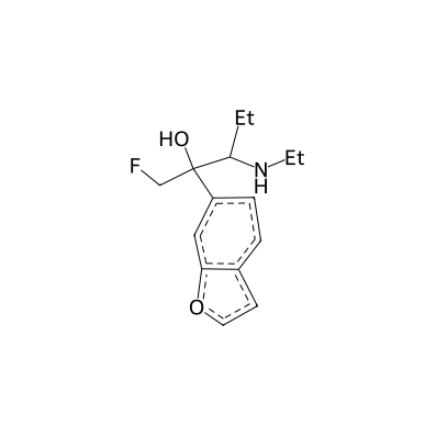 CCNC(CC)C(O)(CF)c1ccc2ccoc2c1